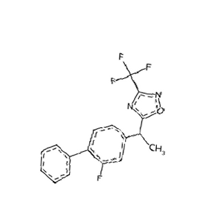 CC(c1ccc(-c2ccccc2)c(F)c1)c1nc(C(F)(F)F)no1